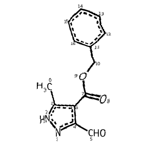 Cc1[nH]nc(C=O)c1C(=O)OCc1ccccc1